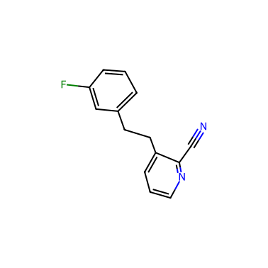 N#Cc1ncccc1CCc1cccc(F)c1